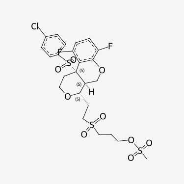 CS(=O)(=O)OCCCS(=O)(=O)CC[C@@H]1OCC[C@@]2(S(=O)(=O)c3ccc(Cl)cc3)c3c(F)ccc(F)c3OC[C@@H]12